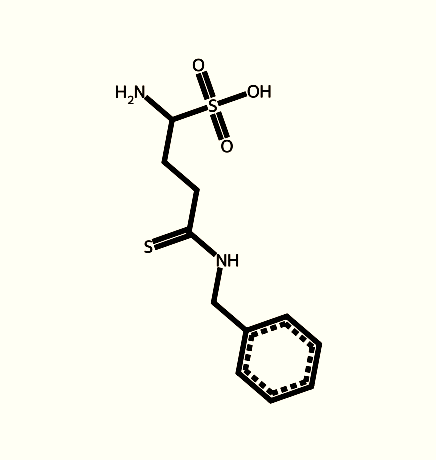 NC(CCC(=S)NCc1ccccc1)S(=O)(=O)O